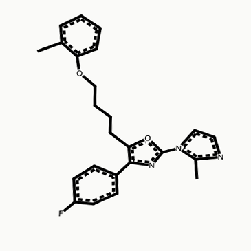 Cc1ccccc1OCCCCc1oc(-n2ccnc2C)nc1-c1ccc(F)cc1